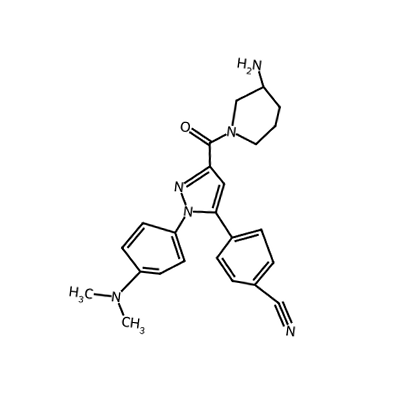 CN(C)c1ccc(-n2nc(C(=O)N3CCCC(N)C3)cc2-c2ccc(C#N)cc2)cc1